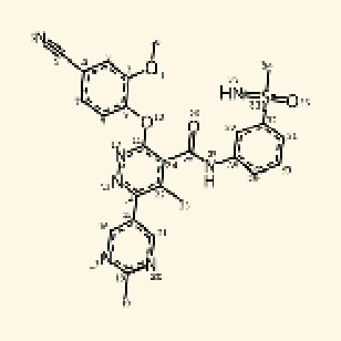 COc1cc(C#N)ccc1Oc1nnc(-c2cnc(C)nc2)c(C)c1C(=O)Nc1cccc(S(C)(=N)=O)c1